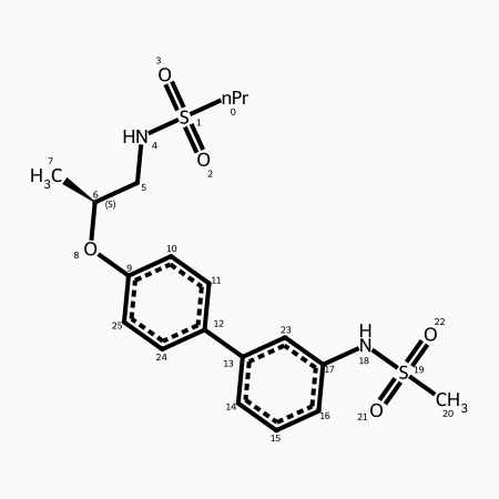 CCCS(=O)(=O)NC[C@H](C)Oc1ccc(-c2cccc(NS(C)(=O)=O)c2)cc1